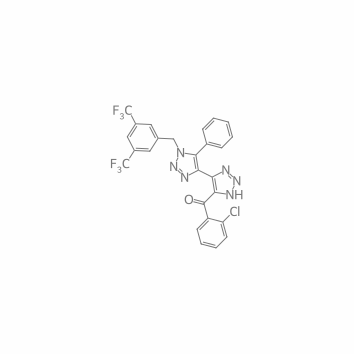 O=C(c1ccccc1Cl)c1[nH]nnc1-c1nnn(Cc2cc(C(F)(F)F)cc(C(F)(F)F)c2)c1-c1ccccc1